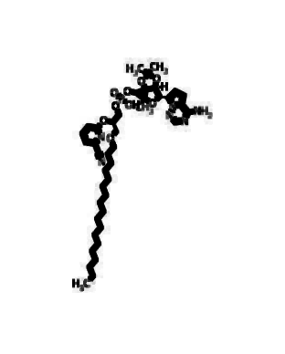 CCCCCCCCCCCCCCCCCCOC[C@H](COP(=O)(O)OC1C23OC(C)(C)O[C@H]2[C@H](c2ccc4c(N)ncnn24)O[C@]13C)Oc1cccc(C#N)n1